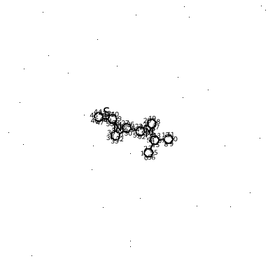 C1CCC(C2CC(C3CCCCC3)CC(N3C4CCCCC4C4CC(C5CCC6C(C5)C5CCCCC5N6C5CCC6SC7CCCCC7C6C5)CCC43)C2)CC1